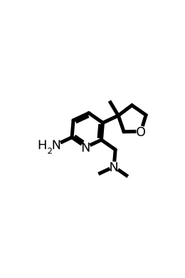 CN(C)Cc1nc(N)ccc1C1(C)CCOC1